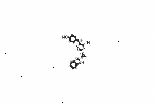 C[C@@H](NC(=O)[C@H]1C[C@@H]1c1nc2ccccc2[nH]1)C(=O)Nc1ccc(C#N)cc1